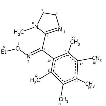 CCON=C(C1=NCCN1C)c1c(C)c(C)c(C)c(C)c1C